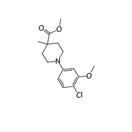 COC(=O)C1(C)CCN(c2ccc(Cl)c(OC)c2)CC1